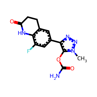 Cn1nnc(-c2cc(F)c3c(c2)CCC(=O)N3)c1OC(N)=O